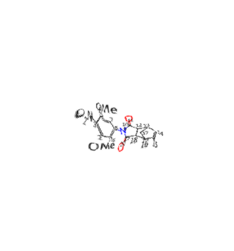 COc1cc([N+](=O)[O-])c(OC)cc1N1C(=O)C2C3C=CC(C3)C2C1=O